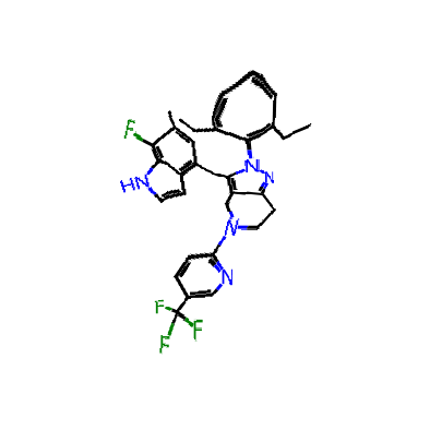 CCc1cccc(CC)c1-n1nc2c(c1-c1cc(C)c(F)c3[nH]ccc13)CN(c1ccc(C(F)(F)F)cn1)CC2